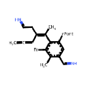 C=C=C/C(CC=N)=C(/C)c1c(CCCCC)cc(C=N)c(C)c1CC